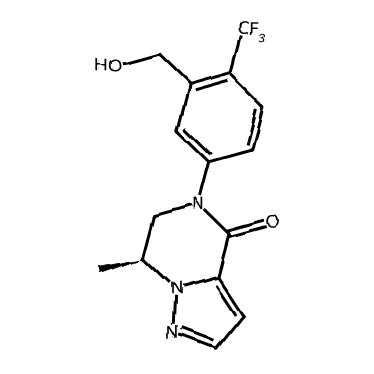 C[C@H]1CN(c2ccc(C(F)(F)F)c(CO)c2)C(=O)c2ccnn21